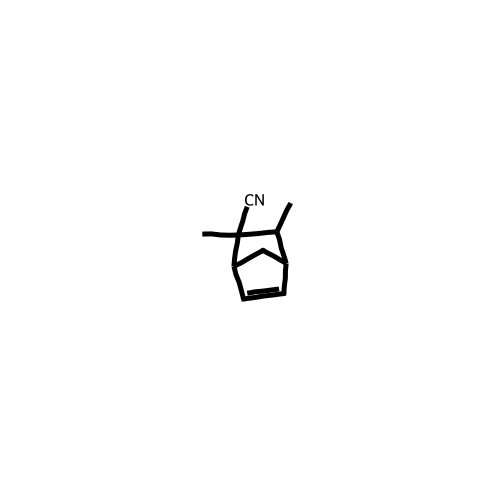 CC1C2C=CC(C2)C1(C)C#N